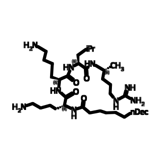 CCCCCCCCCCCCCCCC(=O)N[C@H](CCCCN)C(=O)N[C@@H](CCCCN)C(=O)N[C@@H](CC(C)C)C(=O)N[C@H](C)CCCNC(=N)N